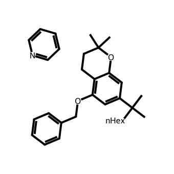 CCCCCCC(C)(C)c1cc(OCc2ccccc2)c2c(c1)OC(C)(C)CC2.c1ccncc1